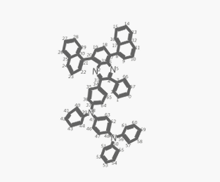 c1ccc(-c2nc3c(-c4cccc5ccccc45)ccc(-c4cccc5ccccc45)c3nc2-c2ccc(N(c3ccccc3)c3ccc(N(c4ccccc4)c4ccccc4)cc3)cc2)cc1